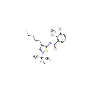 COc1c(Cl)cccc1C(=O)/N=c1\sn(C(C)(C)C)cc1CCCCF